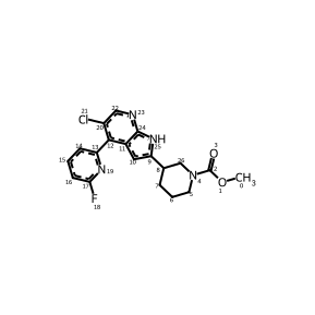 COC(=O)N1CCCC(c2cc3c(-c4cccc(F)n4)c(Cl)cnc3[nH]2)C1